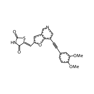 COc1ccc(C#Cc2cncc3cc(/C=C4\SC(=O)NC4=O)oc23)cc1OC